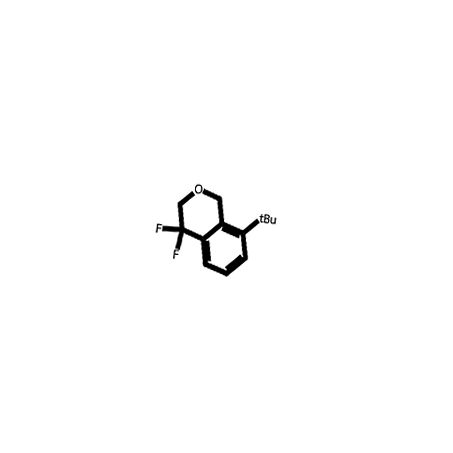 CC(C)(C)c1cccc2c1COCC2(F)F